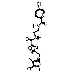 Cc1nn(Cc2noc(C(=O)NCCNC(=O)c3ccc(Cl)cc3)n2)c(C)c1Cl